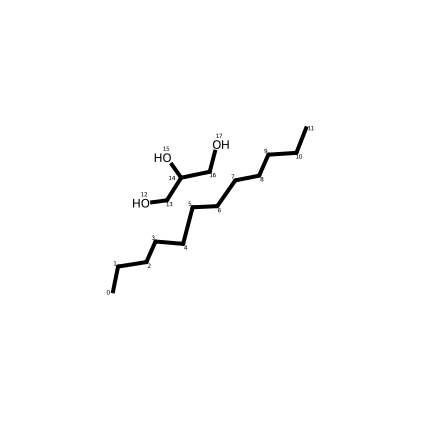 CCCCCCCCCCCC.OCC(O)CO